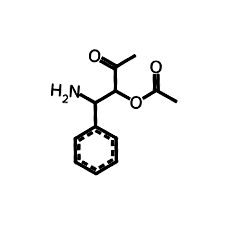 CC(=O)OC(C(C)=O)C(N)c1ccccc1